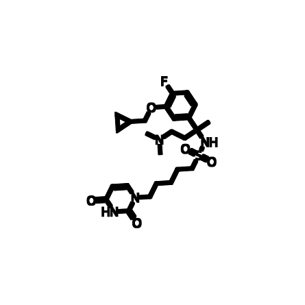 CN(C)CCC(C)(NS(=O)(=O)CCCCCn1ccc(=O)[nH]c1=O)c1ccc(F)c(OCC2CC2)c1